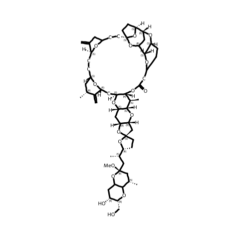 C=C1CC2CC[C@]34CC[C@H](O3)[C@H]3C[C@@H](O4)[C@H]4OC(CC[C@@H]4O3)CC(=O)O[C@@H]3[C@@H](C)[C@@H]4O[C@@H]5C[C@]6(CC[C@H]([C@@H](C)C[C@]7(OC)C[C@H](C)C8O[C@H](CO)[C@H](O)CC8O7)O6)O[C@@H]5C[C@@H]4O[C@H]3C[C@H]3O[C@@H](CC[C@@H]1O2)C[C@@H](C)C3=C